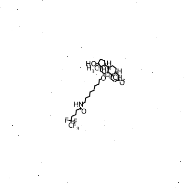 C[C@]12CCC(=O)C[C@@H]1CC[C@@H]1[C@@H]2[C@@H](OCCCCCCCCNC(=O)CCCC(F)(F)C(F)(F)F)C[C@]2(C)[C@@H](O)CC[C@@H]12